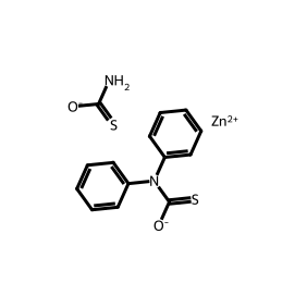 NC([O-])=S.[O-]C(=S)N(c1ccccc1)c1ccccc1.[Zn+2]